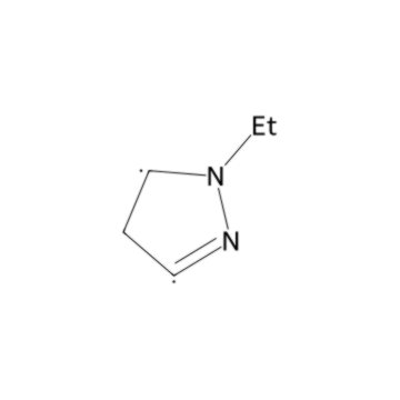 CCN1[CH]C[C]=N1